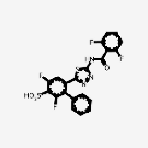 O=C(Nc1nnc(-c2cc(F)c(S(=O)(=O)O)c(F)c2-c2ccccc2)s1)c1c(F)cccc1F